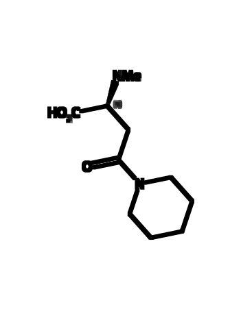 CN[C@@H](CC(=O)N1CCCCC1)C(=O)O